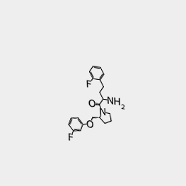 NC(CCc1ccccc1F)C(=O)N1CCC[C@H]1COc1cccc(F)c1